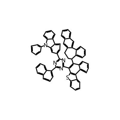 c1ccc(-n2c3ccccc3c3ccc(-c4nc(-c5cccc6ccccc56)nc(-c5c(C6CCc7cc8ccccc8cc7-c7ccccc76)c6ccccc6c6c5sc5ccccc56)n4)cc32)cc1